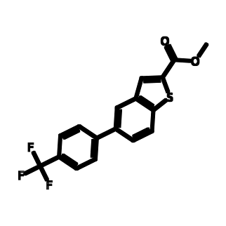 COC(=O)c1cc2cc(-c3ccc(C(F)(F)F)cc3)ccc2s1